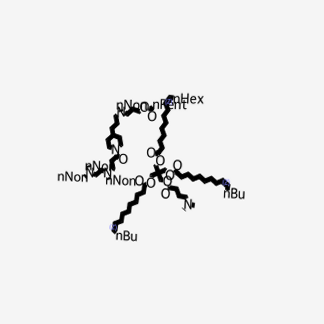 CCCC/C=C\CCCCCCCC(=O)OCC(COC(=O)CCCCCCC/C=C\CCCC)(COC(=O)CCCCCCC/C=C\CCCCCC)COC(=O)CCCN(C)C.CCCCCCCCCN(CCCOC(=O)CCCCC)CCCC1CCN(C(=O)CCN(CCCCCCCCC)CCN(CCCCCCCCC)CCCCCCCCC)CC1